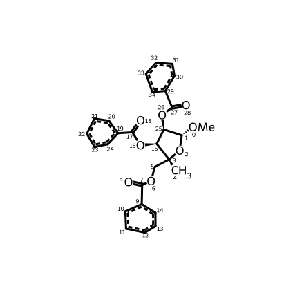 CO[C@@H]1O[C@](C)(COC(=O)c2ccccc2)[C@@H](OC(=O)c2ccccc2)[C@H]1OC(=O)c1ccccc1